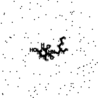 CCCCC(CC)CNC(=O)c1c(C)cc(O)[nH]c1=O